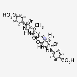 Cc1c(C=C/C=c2/c(C)c3c([nH]c2=O)=NN(c2ccc(C(=O)O)cc2)C3=O)c(O)[nH]c2nn(-c3ccc(C(=O)O)cc3)c(=O)c1-2